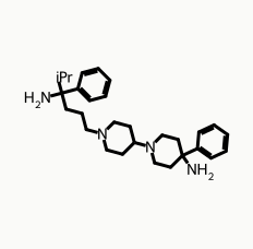 CC(C)C(N)(CCCN1CCC(N2CCC(N)(c3ccccc3)CC2)CC1)c1ccccc1